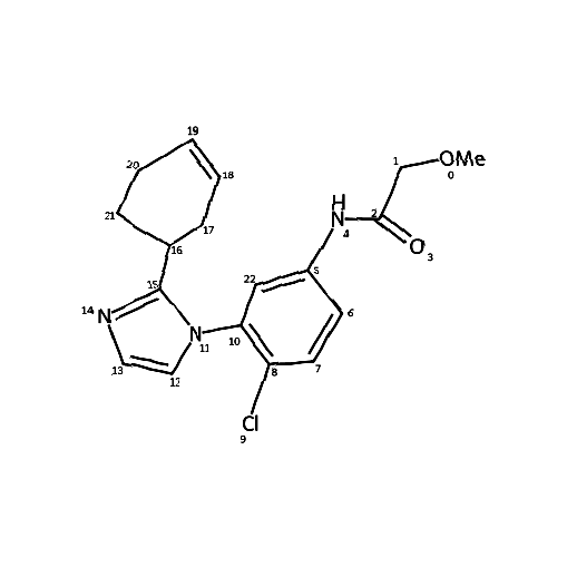 COCC(=O)Nc1ccc(Cl)c(-n2ccnc2C2CC=CCC2)c1